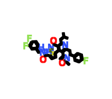 Cc1nc(-c2c(CCc3ccc(F)cc3)nc(CC(C)C)c(C(N)=O)c2-c2ccc(C(=O)NCc3ccc(F)c(F)c3)s2)co1